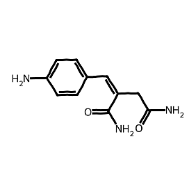 NC(=O)CC(=Cc1ccc(N)cc1)C(N)=O